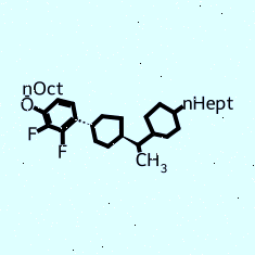 CCCCCCCCOc1ccc([C@H]2CC[C@H](C(C)C3CCC(CCCCCCC)CC3)CC2)c(F)c1F